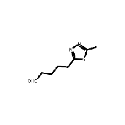 Cc1nnc(CCCCC=O)s1